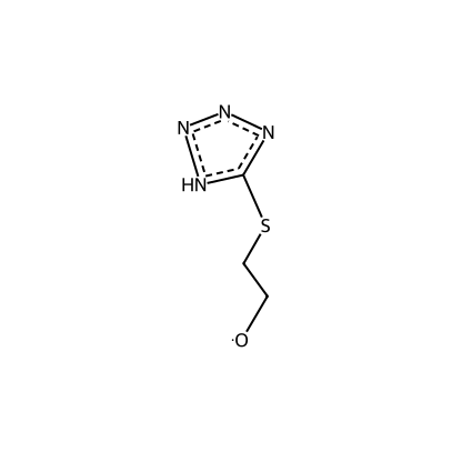 [O]CCSc1nnn[nH]1